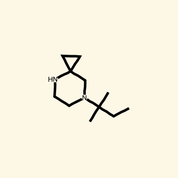 CCC(C)(C)N1CCNC2(CC2)C1